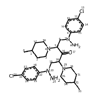 CC1CCN(C(CN(N)c2ccc(Cl)cc2)C(=O)C(CN(N)c2ccc(Cl)cc2)N2CCC(C)CC2)CC1